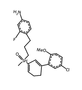 COc1ccc(Cl)cc1C1=CC([SH](C)(=O)CCCc2ccc(N)cc2F)=CCC1